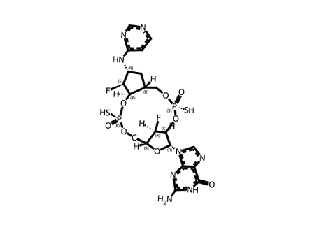 Nc1nc2c(ncn2[C@@H]2O[C@@H]3CO[P@@](=O)(S)O[C@@H]4[C@@H](CO[P@](=O)(S)O[C@@H]2[C@@H]3F)C[C@@H](Nc2ccncn2)[C@@H]4F)c(=O)[nH]1